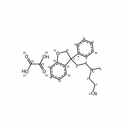 CN(CCC#N)CCC1(c2ccccc2)COc2ccccc21.O=C(O)C(=O)O